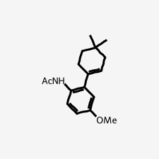 COc1ccc(NC(C)=O)c(C2=CCC(C)(C)CC2)c1